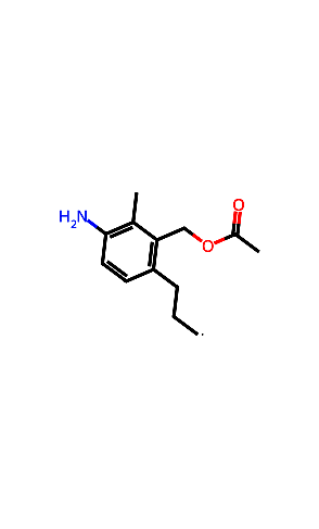 [CH2]CCc1ccc(N)c(C)c1COC(C)=O